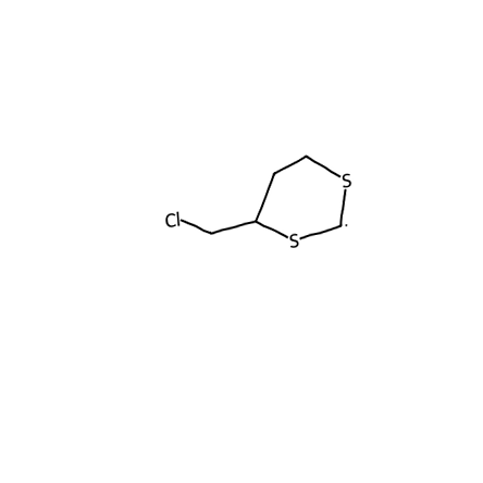 ClCC1CCS[CH]S1